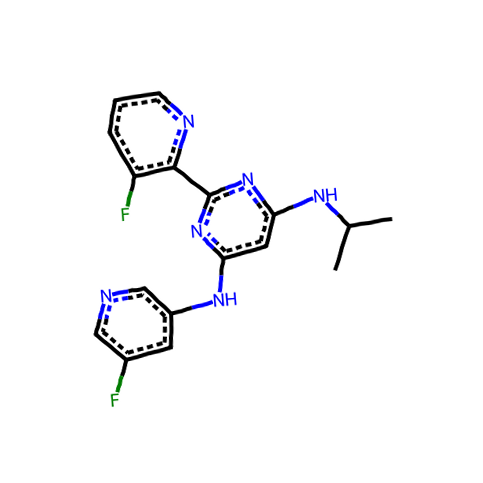 CC(C)Nc1cc(Nc2cncc(F)c2)nc(-c2ncccc2F)n1